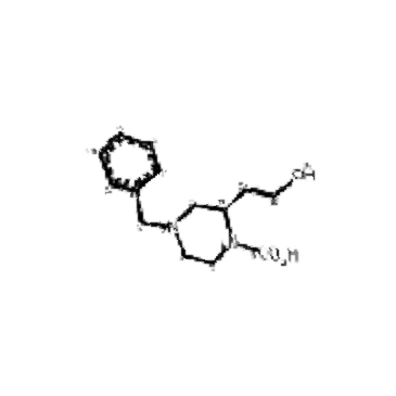 O=C(O)N1CCN(Cc2ccccc2)C[C@H]1CCO